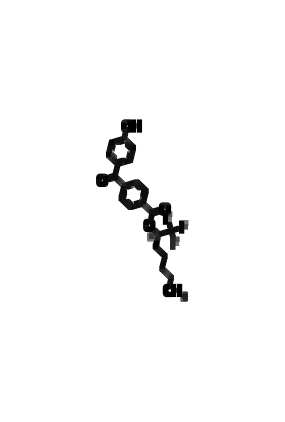 CCCCC[C@@H](OC(=O)c1ccc(C(=O)c2ccc(O)cc2)cc1)C(F)(F)F